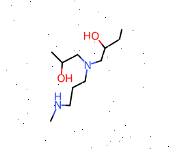 CCC(O)CN(CCCNC)CC(C)O